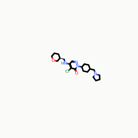 O=c1c(Cl)c(NC[C@@H]2CCCOC2)cnn1C1CCC(CN2CCCC2)CC1